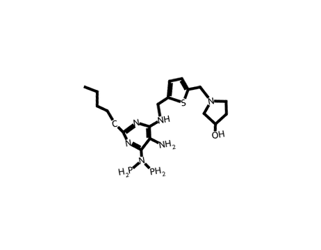 CCCCCc1nc(NCc2ccc(CN3CCC(O)C3)s2)c(N)c(N(P)P)n1